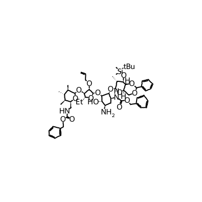 C=CCO[C@H]1[C@H](O[C@@H]2[C@@H](O)[C@H](N)C[C@H](NC(=O)OCc3ccccc3)[C@H]2O[C@H]2O[C@@H]3COC(c4ccccc4)O[C@H]3[C@H](O[Si](C)(C)C(C)(C)C)[C@H]2C)O[C@H](CC)[C@H]1O[C@H]1O[C@@H](CNC(=O)OCc2ccccc2)[C@@H](C)[C@H](C)[C@H]1C